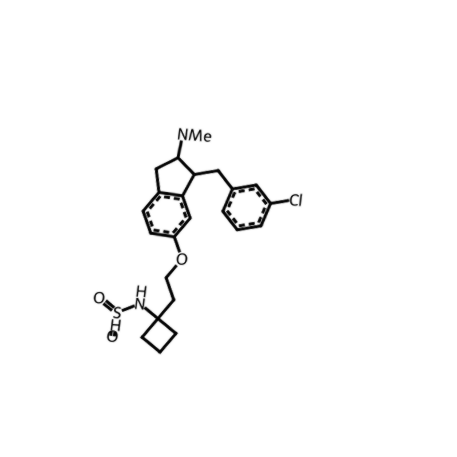 CNC1Cc2ccc(OCCC3(N[SH](=O)=O)CCC3)cc2C1Cc1cccc(Cl)c1